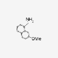 COc1ccc2cccc(CN)c2c1